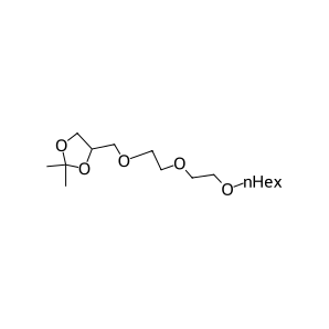 CCCCCCOCCOCCOCC1COC(C)(C)O1